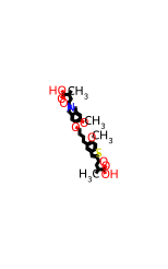 COc1cc2sc(C(=O)CC(C)C(=O)O)cc2cc1CCCCOc1cc2c(cc1OC)CN(C(=O)CC(C)C(=O)O)C2